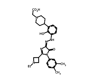 CCN1CC(C2=N/C(=N/Nc3cccc(C4CCN(CC(=O)O)CC4)c3O)C(=O)N2c2ccc(C)c(C)c2)C1